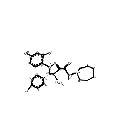 C[C@@H]1C(C(=O)NN2CCCCCC2)=NN(c2ccc(Cl)cc2Cl)[C@H]1c1ccc(I)cc1